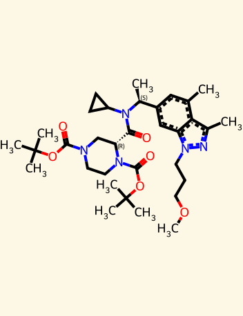 COCCCn1nc(C)c2c(C)cc([C@H](C)N(C(=O)[C@H]3CN(C(=O)OC(C)(C)C)CCN3C(=O)OC(C)(C)C)C3CC3)cc21